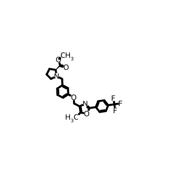 COC(=O)[C@@H]1CCCN1Cc1cccc(OCc2nc(-c3ccc(C(F)(F)F)cc3)oc2C)c1